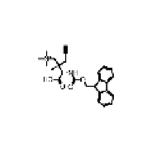 C#CC[C@@](C)(C[N+](C)(C)C)[C@H](NC(=O)OCC1c2ccccc2-c2ccccc21)C(=O)O